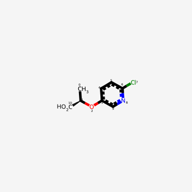 C[C@@H](Oc1ccc(Cl)nc1)C(=O)O